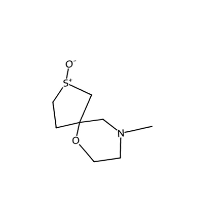 CN1CCOC2(CC[S+]([O-])C2)C1